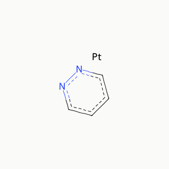 [Pt].c1ccnnc1